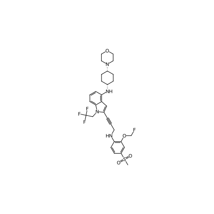 CS(=O)(=O)c1ccc(NCC#Cc2cc3c(N[C@H]4CC[C@@H](N5CCOCC5)CC4)cccc3n2CC(F)(F)F)c(OCF)c1